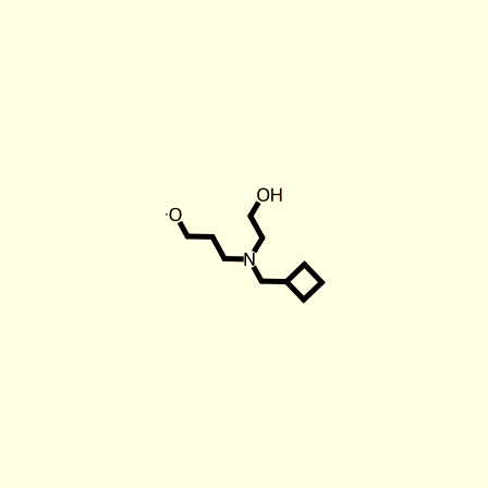 [O]CCCN(CCO)CC1CCC1